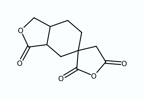 O=C1CC2(CCC3COC(=O)C3C2)C(=O)O1